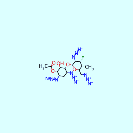 CC(=O)O[C@@H]1[C@@H](O)[C@H](O[C@H]2OC(CN=[N+]=[N-])[C@@H](C)[C@@H](F)[C@H]2N=[N+]=[N-])[C@@H](N=[N+]=[N-])C[C@H]1N=[N+]=[N-]